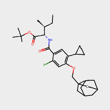 CC[C@H](C)[C@H](NC(=O)c1cc(C2CC2)c(OCC23CC4CC(CC2C4)C3)cc1F)C(=O)OC(C)(C)C